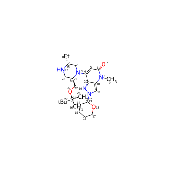 CC[C@@H]1CN(c2cc(=O)n(C)c3cn(C4CCCCO4)nc23)[C@@H](CO[Si](C)(C)C(C)(C)C)CN1